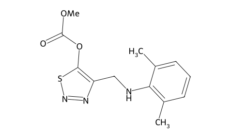 COC(=O)Oc1snnc1CNc1c(C)cccc1C